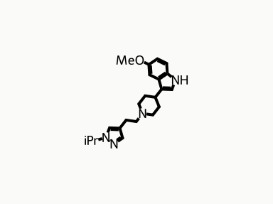 COc1ccc2[nH]cc(C3CCN(CCc4cnn(C(C)C)c4)CC3)c2c1